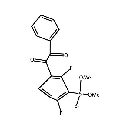 CC[Si](OC)(OC)c1c(F)ccc(C(=O)C(=O)c2ccccc2)c1F